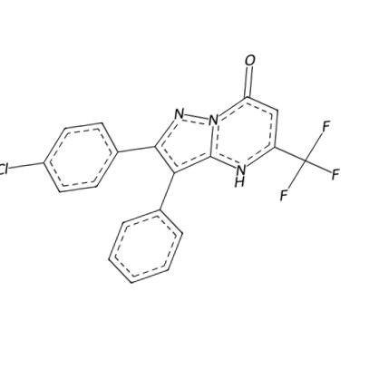 O=c1cc(C(F)(F)F)[nH]c2c(-c3ccccc3)c(-c3ccc(Cl)cc3)nn12